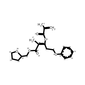 C=C(C)C(=O)OC(CCOc1ccccc1)=C(C)C(=O)OCC1CCCO1